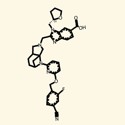 N#Cc1ccc(COc2cccc(N3C4CCC5CN(Cc6nc7ccc(C(=O)O)cc7n6C[C@@H]6CCCO6)CC53C4)n2)c(F)c1